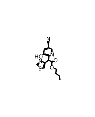 CCCCOC(=O)C(c1cscn1)c1ncc(C#N)cc1O